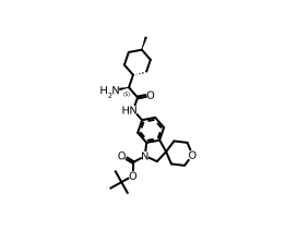 CC(C)(C)OC(=O)N1CC2(CCOCC2)c2ccc(NC(=O)[C@@H](N)[C@H]3CC[C@H](C)CC3)cc21